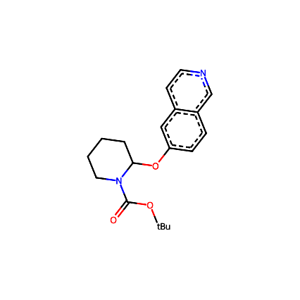 CC(C)(C)OC(=O)N1CCCCC1Oc1ccc2cnccc2c1